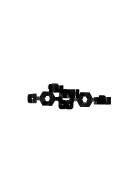 CCCCc1ccc(C(=O)NN(C(=O)c2ccc(Cl)cc2)C(C)(C)C)cc1